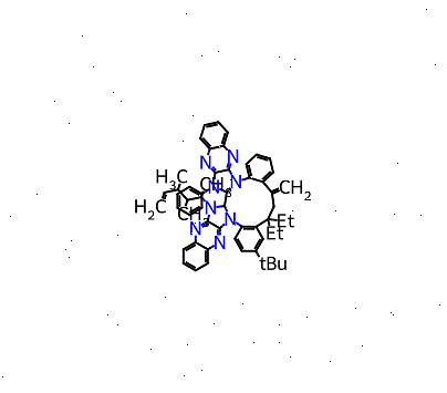 C=CC(C)C(C)C(C)N1c2nc3ccccc3nc2N2c3ccc(C(C)(C)C)cc3C(CC)(CC)CC(=C)c3ccccc3N3c4nc5ccccc5nc4N(c4ccccc4)C3C21